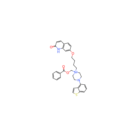 O=C(OC[N+]1(CCCCOc2ccc3ccc(=O)[nH]c3c2)CCN(c2cccc3sccc23)CC1)c1ccccc1